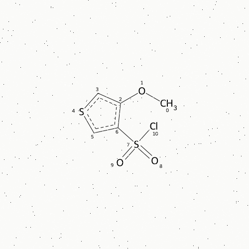 COc1cscc1S(=O)(=O)Cl